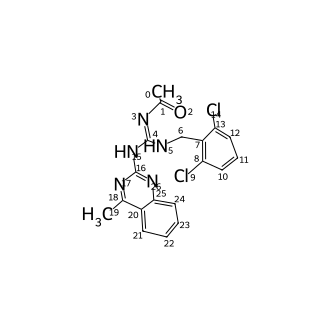 CC(=O)/N=C(\NCc1c(Cl)cccc1Cl)Nc1nc(C)c2ccccc2n1